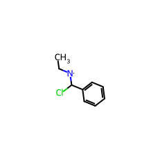 CC[N]C(Cl)c1ccccc1